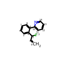 C=CC(F)c1ccccc1-c1ccccn1